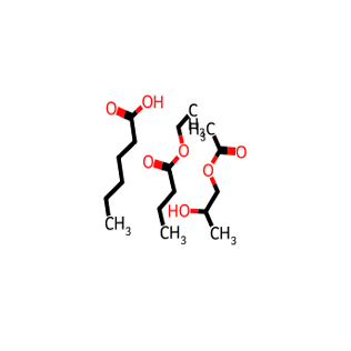 CC(=O)OCC(C)O.CCCC(=O)OCC.CCCCCC(=O)O